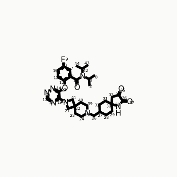 CC(C)N(C(=O)c1cc(F)ccc1Oc1nncnc1N1CC2(CCN(CC3CCC4(CC3)CC(=O)C(=O)N4)CC2)C1)C(C)C